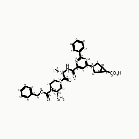 CC(C)[C@H](NC(=O)c1cc(N2CC3C(C2)C3C(=O)O)nc(-c2ccccc2)n1)C(=O)N1CCN(C(=O)OCc2ccccc2)[C@H](C)C1